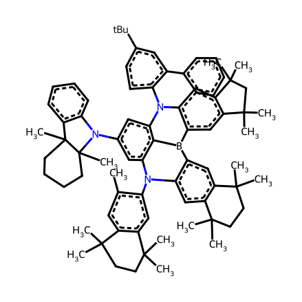 Cc1cc2c(cc1N1c3cc4c(cc3B3c5cc6c(cc5N(c5ccc(C(C)(C)C)cc5-c5ccccc5)c5cc(N7c8ccccc8C8(C)CCCCC78C)cc1c53)C(C)(C)CC6(C)C)C(C)(C)CCC4(C)C)C(C)(C)CCC2(C)C